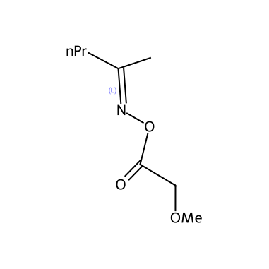 CCC/C(C)=N/OC(=O)COC